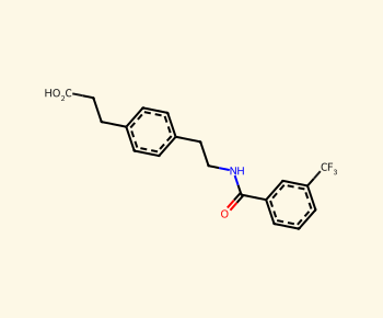 O=C(O)CCc1ccc(CCNC(=O)c2cccc(C(F)(F)F)c2)cc1